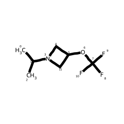 CC(C)N1CC(OC(F)(F)F)C1